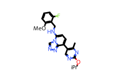 COc1cccc(F)c1CNc1ccc(-c2cnc(OC(C)C)nc2C)c2nncn12